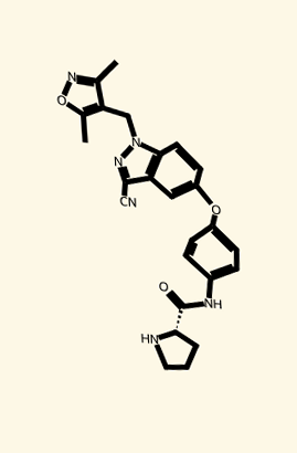 Cc1noc(C)c1Cn1nc(C#N)c2cc(Oc3ccc(NC(=O)[C@@H]4CCCN4)cc3)ccc21